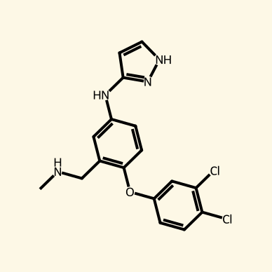 CNCc1cc(Nc2cc[nH]n2)ccc1Oc1ccc(Cl)c(Cl)c1